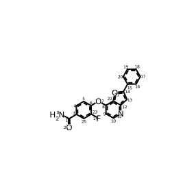 NC(=O)c1ccc(Oc2ccnc3cc(-c4ccccc4)oc23)c(F)c1